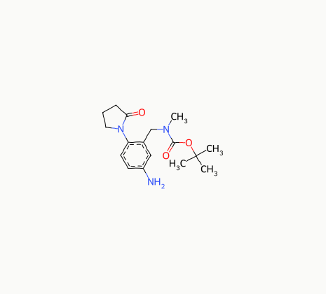 CN(Cc1cc(N)ccc1N1CCCC1=O)C(=O)OC(C)(C)C